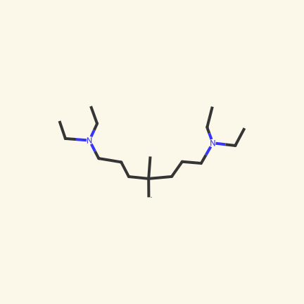 [CH2]C(C)(CCCN(CC)CC)CCCN(CC)CC